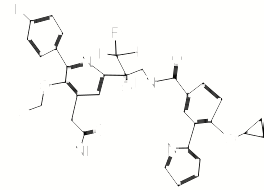 CCOc1c(CC(N)=O)cc([C@@](O)(CNC(=O)c2ccc(OC3CC3)c(-c3ccccn3)c2)C(F)(F)F)nc1-c1ccc(F)cc1